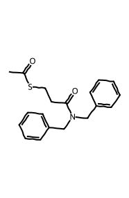 CC(=O)SCCC(=O)N(Cc1ccccc1)Cc1ccccc1